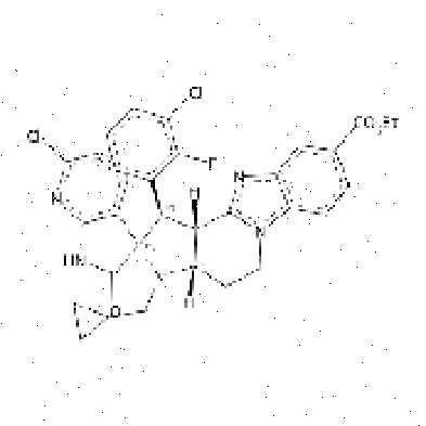 CCOC(=O)c1ccc2c(c1)nc1n2CC[C@H]2[C@@H]1[C@H](c1cccc(Cl)c1F)[C@]1(C(=O)Nc3nc(Cl)ccc31)N2CC1CC1